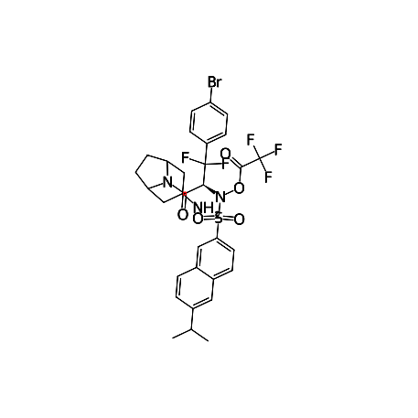 CC(C)c1ccc2cc(S(=O)(=O)N(OC(=O)C(F)(F)F)[C@@H](C(=O)N3C4CCC3CC(N)C4)C(F)(F)c3ccc(Br)cc3)ccc2c1